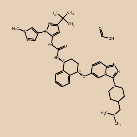 CN(C)CC1CCN(c2nnc3ccc(O[C@@H]4CC[C@H](NC(=O)Nc5cc(C(C)(C)C)nn5-c5cnn(C)c5)c5ccccc54)cn23)CC1.O=CO